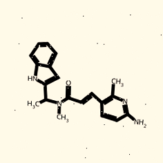 Cc1nc(N)ccc1C=CC(=O)N(C)C(C)c1cc2ccccc2[nH]1